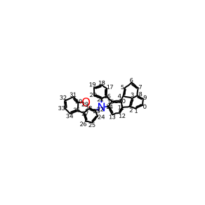 c1cc2c3c(cccc3c1)-c1c-2ccc2c1c1ccccc1n2-c1cccc2c1oc1ccccc12